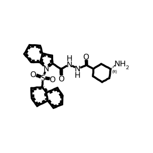 N[C@@H]1CCCC(C(=O)NNC(=O)c2cc3ccccc3n2S(=O)(=O)c2cccc3ccccc23)C1